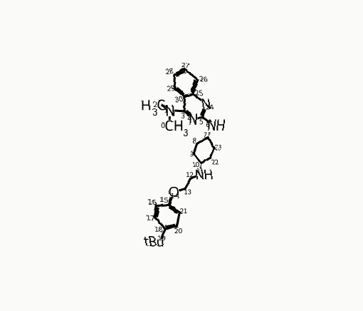 CN(C)c1nc(N[C@H]2CC[C@@H](NCCOc3ccc(C(C)(C)C)cc3)CC2)nc2ccccc12